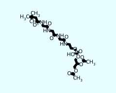 CC(=O)OCC(COP(=O)(O)OCCNC(=O)CNC(=O)CNC(=O)CNC(=O)CC(C)(C)C)OC(C)=O